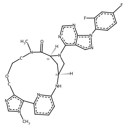 CN1CCOCc2ncn(C)c2-c2cccc(n2)N[C@H]2C[C@@H](C1=O)N(c1ncnc3c1cnn3-c1ccc(F)cc1F)C2